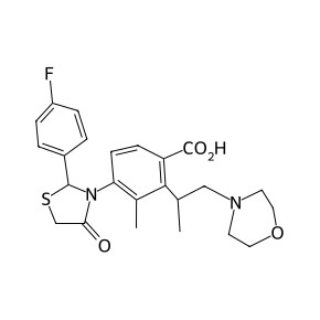 Cc1c(N2C(=O)CSC2c2ccc(F)cc2)ccc(C(=O)O)c1C(C)CN1CCOCC1